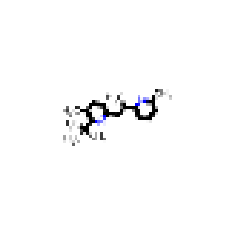 Cc1cccc(C(C)Cc2ccc(C)c(C(C)(C)C)n2)n1